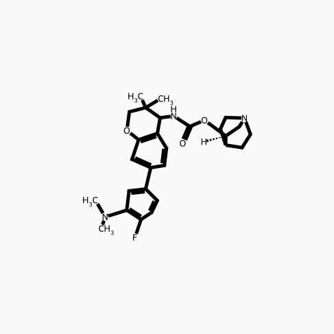 CN(C)c1cc(-c2ccc3c(c2)OCC(C)(C)C3NC(=O)O[C@H]2CN3CCC2CC3)ccc1F